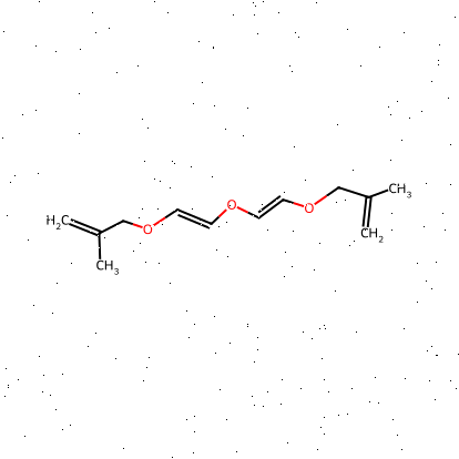 C=C(C)COC=COC=COCC(=C)C